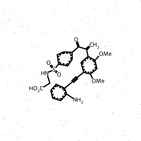 C=C(C(=O)c1ccc(S(=O)(=O)NCC(=O)O)cc1)c1cc(C#Cc2ccccc2N)c(OC)cc1OC